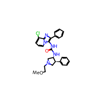 COCCN1C[C@H](NC(=O)Nc2c(-c3ccccc3)nc3c(Cl)cccn23)[C@@H](c2ccccc2)C1